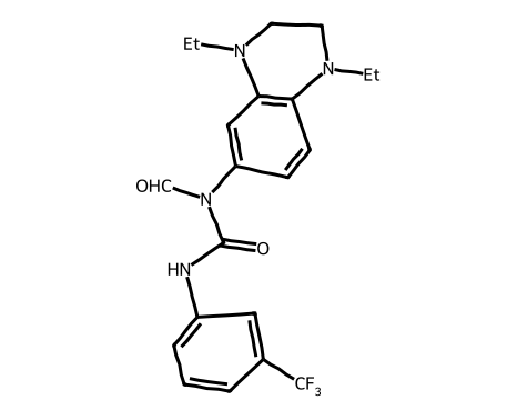 CCN1CCN(CC)c2cc(N(C=O)C(=O)Nc3cccc(C(F)(F)F)c3)ccc21